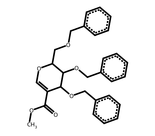 COC(=O)C1=COC(COCc2ccccc2)C(OCc2ccccc2)C1OCc1ccccc1